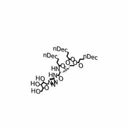 CCCCCCCCCCCCC(=O)N[C@H](CSC[C@@H](COC(=O)CCCCCCCCCCCC)OC(=O)CCCCCCCCCCCC)C(=O)Nc1cn([C@H]2OC(CO)[C@@H](O)[C@@H]2O)nn1